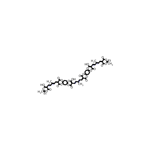 CCC1(C)OC(=O)C(=C/C=C(C)/C=C/C2=C(O)OC3(CCC4(CC3)OC(=O)C(=C/C=C(C)/C=C/C3=C(O)OC5(CCC6(CC5)OC(=O)C(=C/C=C(C)/C=C/C5=C(O)OC(C)(CC)OC5=O)C(=O)O6)OC3=O)C(=O)O4)OC2=O)C(=O)O1